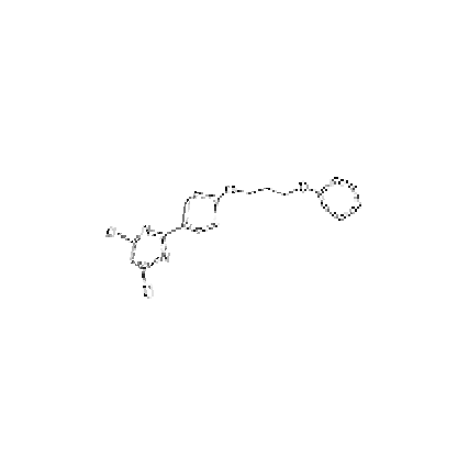 Clc1cc(Cl)nc(-c2ccc(OCCCOc3ccccc3)cc2)n1